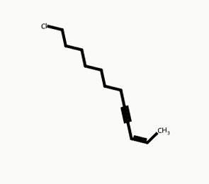 C/C=C\C#CCCCCCCCCl